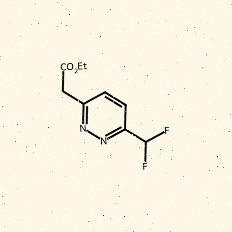 CCOC(=O)Cc1ccc(C(F)F)nn1